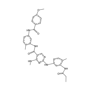 CCC(=O)Nc1cc(Nc2ncc(C(=O)Nc3cc(NC(=O)c4ccc(OC)cc4)ccc3C)c(NC)n2)ccc1C